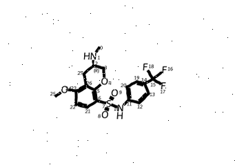 CN[C@H]1COc2c(S(=O)(=O)Nc3ccc(C(F)(F)F)cc3)ccc(OC)c2C1